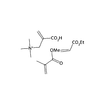 C=C(C)C(=O)OC.C=C(C[N+](C)(C)C)C(=O)O.C=CC(=O)OCC